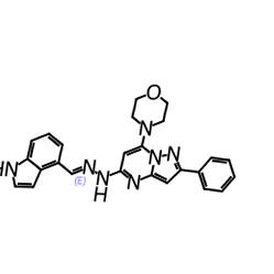 C(=N\Nc1cc(N2CCOCC2)n2nc(-c3ccccc3)cc2n1)/c1cccc2[nH]ccc12